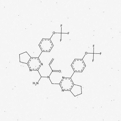 C=CC(=O)N(Cc1nc2c(c(-c3ccc(OC(F)(F)F)cc3)n1)CCC2)C(N)c1nc2c(c(-c3ccc(OC(F)(F)F)cc3)n1)CCC2